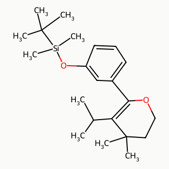 CC(C)C1=C(c2cccc(O[Si](C)(C)C(C)(C)C)c2)OCCC1(C)C